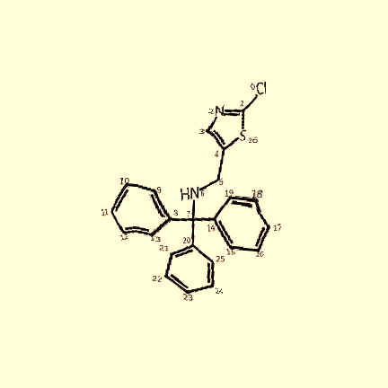 Clc1ncc(CNC(c2ccccc2)(c2ccccc2)c2ccccc2)s1